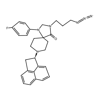 [N-]=[N+]=NCCCN1CN(c2ccc(F)cc2)C2(CCN([C@@H]3Cc4cccc5cccc3c45)CC2)C1=O